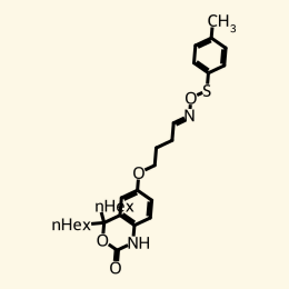 CCCCCCC1(CCCCCC)OC(=O)Nc2ccc(OCCCC=NOSc3ccc(C)cc3)cc21